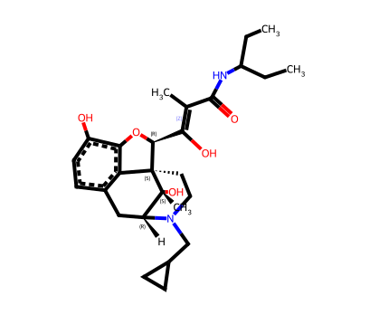 CCC(CC)NC(=O)/C(C)=C(\O)[C@@H]1Oc2c(O)ccc3c2[C@@]12CCN(CC1CC1)[C@H](C3)[C@@]2(C)O